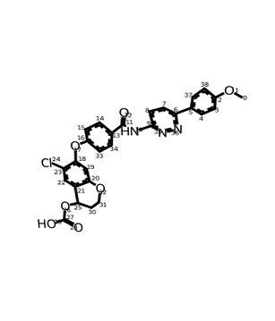 COc1ccc(-c2ccc(NC(=O)c3ccc(Oc4cc5c(cc4Cl)C(OC(=O)O)CCO5)cc3)nn2)cc1